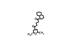 CC1CN(C(=O)CCCC(=O)N2CCCC3CCCCC32)CC(C)O1